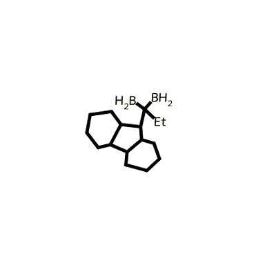 BC(B)(CC)C1C2CCCCC2C2CCCCC21